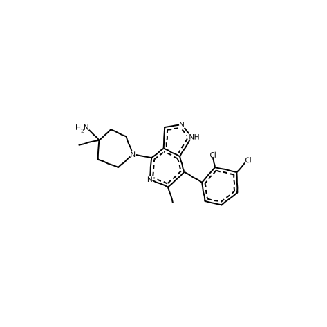 Cc1nc(N2CCC(C)(N)CC2)c2cn[nH]c2c1-c1cccc(Cl)c1Cl